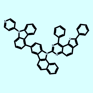 c1ccc(-c2cc3ccc4nc(-n5c6ccc(-c7cccc8c7c7ccccc7n8-c7ccncc7)cc6c6ccc7ccccc7c65)nc(-c5ccccc5)c4c3s2)cc1